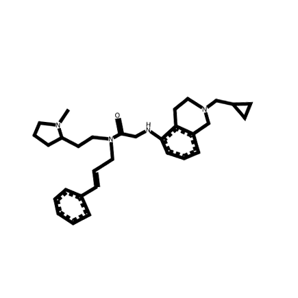 CN1CCCC1CCN(CC=Cc1ccccc1)C(=O)CNc1cccc2c1CCN(CC1CC1)C2